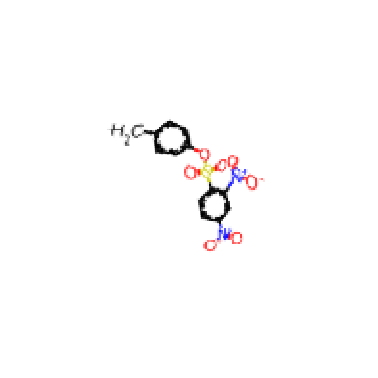 [CH2]c1ccc(OS(=O)(=O)c2ccc([N+](=O)[O-])cc2[N+](=O)[O-])cc1